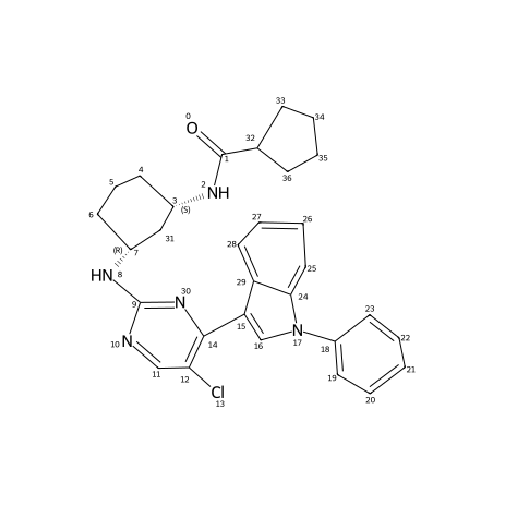 O=C(N[C@H]1CCC[C@@H](Nc2ncc(Cl)c(-c3cn(-c4ccccc4)c4ccccc34)n2)C1)C1CCCC1